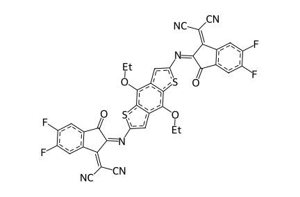 CCOc1c2cc(/N=C3\C(=O)c4cc(F)c(F)cc4C3=C(C#N)C#N)sc2c(OCC)c2cc(/N=C3\C(=O)c4cc(F)c(F)cc4C3=C(C#N)C#N)sc12